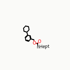 CCCCCCCC(=O)OCc1cccc(C2CCCCC2)c1